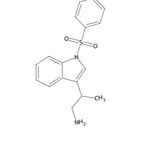 CC(CN)c1cn(S(=O)(=O)c2ccccc2)c2ccccc12